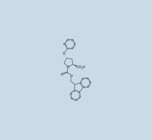 O=C(O)[C@@H]1C[C@@H](Oc2ccccn2)CN1C(=O)OCC1c2ccccc2-c2ccccc21